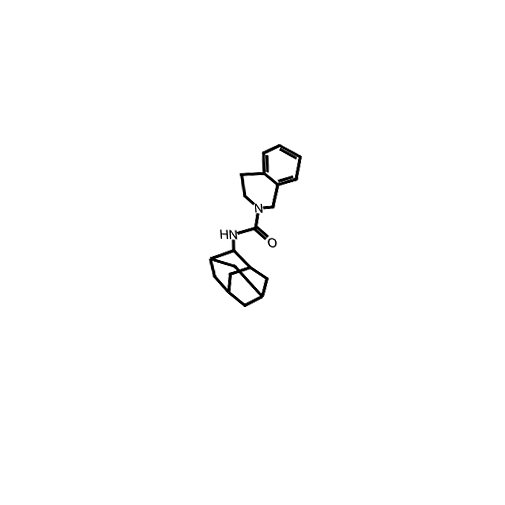 O=C(NC1C2CC3CC(C2)CC1C3)N1CCc2ccccc2C1